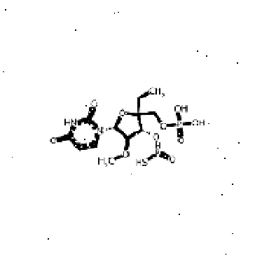 CC[C@]1(COP(=O)(O)O)O[C@@H](n2ccc(=O)[nH]c2=O)C(OC)[C@H]1O[PH](=O)S